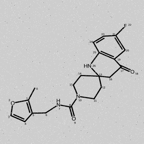 Cc1occc1CNC(=O)N1CCC2(CC1)CC(=O)c1cc(F)ccc1N2